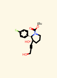 CC(C)(C)OC(=O)N1CCC[C@@](O)(C#CCO)[C@@H]1c1ccc(F)cc1